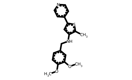 COc1ccc(CNc2cc(-c3ccncc3)sc2C)cc1OC